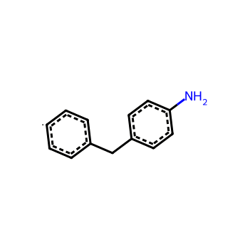 Nc1ccc(Cc2cc[c]cc2)cc1